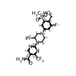 CC(C)C1CN(c2cc(F)c(CO)c(S(C)(=O)=O)c2)CCN1c1ncc(C(N)=O)c(C(F)(F)F)n1